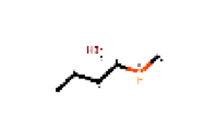 Br.CCCCPC